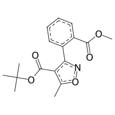 COC(=O)c1ccccc1-c1noc(C)c1C(=O)OC(C)(C)C